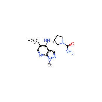 CCn1ncc2c(N[C@@H]3CCN(C(N)=O)C3)c(C(=O)O)cnc21